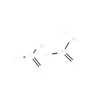 O=[PH](O)O.O=[PH](O)O.[Cu]